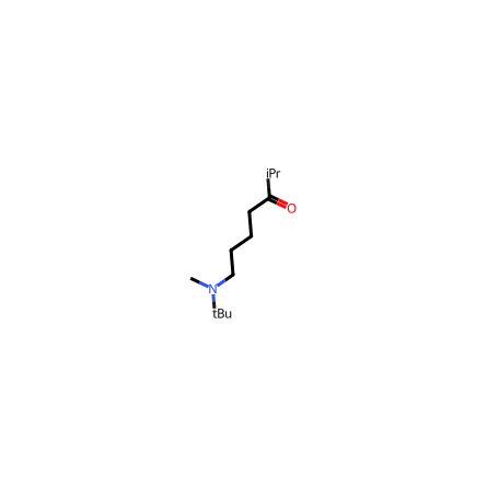 CC(C)C(=O)CCCCN(C)C(C)(C)C